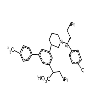 CC(C)CC[C@@H](c1ccc(C(F)(F)F)cc1)N1CCCC(c2cc(-c3ccc(C(F)(F)F)cc3)cc(C(CC(C)C)C(=O)O)c2)C1